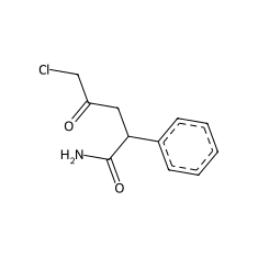 NC(=O)C(CC(=O)CCl)c1ccccc1